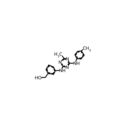 Cc1ccc(Nc2nc(C)nc(Nc3cccc(CO)c3)n2)cc1